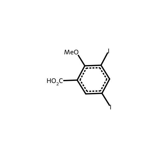 COc1c(I)cc(I)cc1C(=O)O